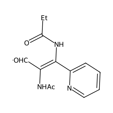 CCC(=O)N/C(=C(\[C]=O)NC(C)=O)c1ccccn1